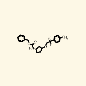 Cc1ccc(C(F)(F)COC2CC[C@H](NC(=O)OCc3ccccc3)C2)cc1